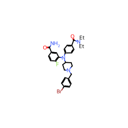 CCN(CC)C(=O)c1ccc(N(c2cc(C(N)=O)ccc2F)C2CCN(Cc3ccc(Br)cc3)CC2)cc1